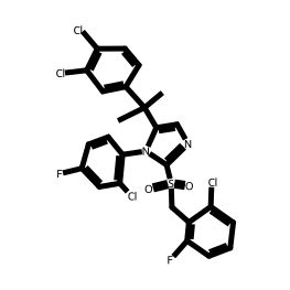 CC(C)(c1ccc(Cl)c(Cl)c1)c1cnc(S(=O)(=O)Cc2c(F)cccc2Cl)n1-c1ccc(F)cc1Cl